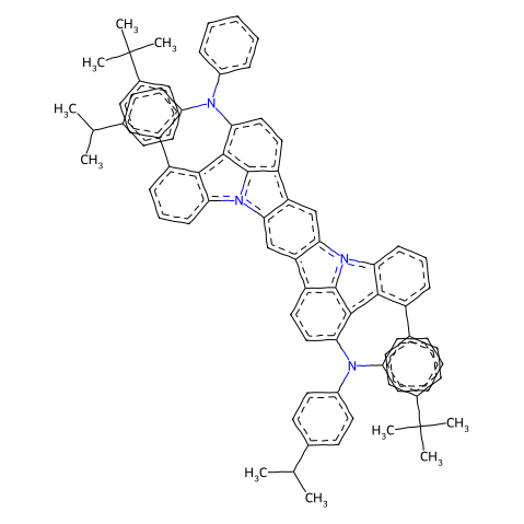 CC(C)c1ccc(N(c2ccccc2)c2ccc3c4cc5c(cc4n4c6cccc(-c7ccc(C(C)(C)C)cc7)c6c2c34)c2ccc(N(c3ccccc3)c3ccc(C(C)C)cc3)c3c4c(-c6ccc(C(C)(C)C)cc6)cccc4n5c23)cc1